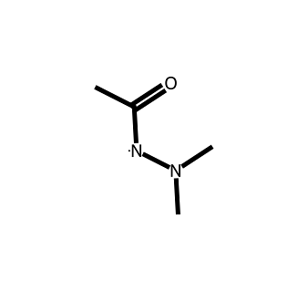 CC(=O)[N]N(C)C